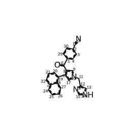 N#Cc1ccc(C(=O)c2cn(Cc3c[nH]cn3)cc2-c2cccc3ccccc23)cc1